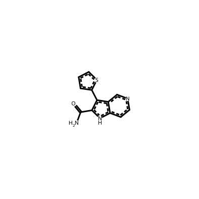 NC(=O)c1[nH]c2ccncc2c1-c1cccs1